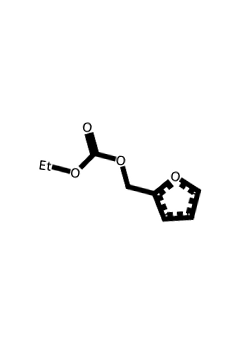 CCOC(=O)OCc1ccco1